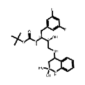 CC(C)(C)OC(=O)N[C@@H](Cc1cc(F)cc(F)c1)[C@@H](O)CNC1CS(O)(O)Nc2ccccc21